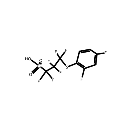 O=S(=O)(O)C(F)(F)C(F)(F)C(F)(F)Sc1ccc(F)cc1F